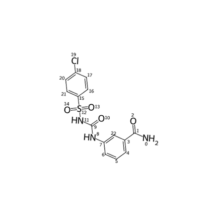 NC(=O)c1cccc(NC(=O)NS(=O)(=O)c2ccc(Cl)cc2)c1